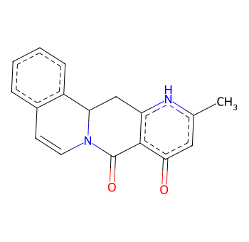 Cc1cc(=O)c2c([nH]1)CC1c3ccccc3C=CN1C2=O